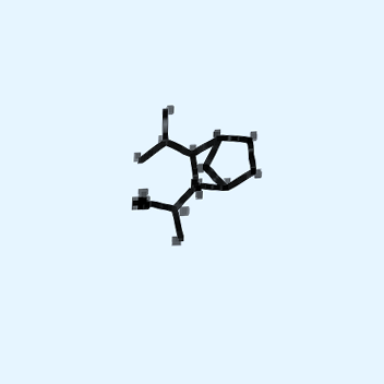 CC(C)C1C2CCC(C2)N1C(C)S